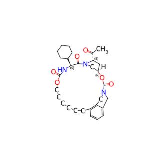 CC(=O)[C@@H]1C[C@@H]2CN1C(=O)[C@H](C1CCCCC1)NC(=O)OCCCCCCc1cccc3c1CN(C3)C(=O)O2